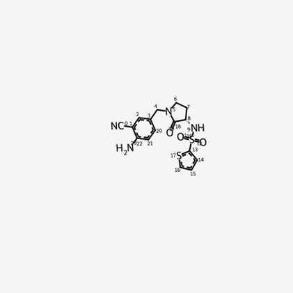 N#Cc1cc(CN2CC[C@H](NS(=O)(=O)c3cccs3)C2=O)ccc1N